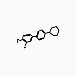 Fc1ccc(-c2ccc(C3CCCCC3)cc2)cc1F